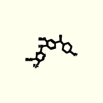 CNc1nc(Nc2ccc(C(=O)N3CCN(C(C)C)CC3)cc2OC)ncc1C(F)(F)F